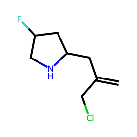 C=C(CCl)CC1CC(F)CN1